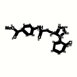 COC(=O)c1ccc(NC(=O)CSc2nnnn2-c2ccccc2Cl)cc1